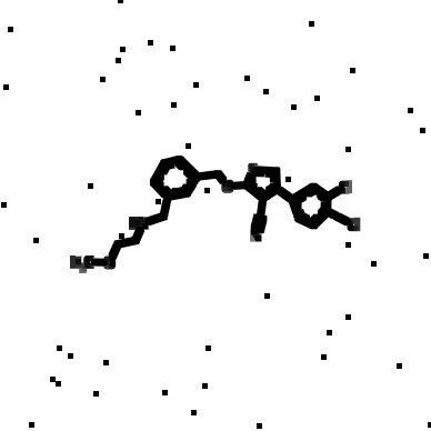 COCCNCc1cccc(COc2scc(-c3ccc(Cl)c(Cl)c3)c2C#N)c1